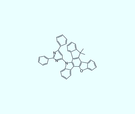 CC1(C)c2ccccc2-c2c1c1c3ccccc3oc1c1c3ccccc3n(-c3cc(-c4ccccc4)nc(-c4ccccc4)n3)c21